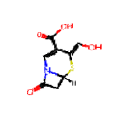 O=C(O)C1=CN2C(=O)C[C@H]2SC1=CO